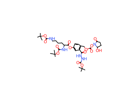 CC(C)(C)OC(=O)NCCCCC(NC(=O)OC(C)(C)C)C(=O)Oc1ccc(COC(=O)ON2C(=O)CCC2O)c(C(=O)NNC(=O)OC(C)(C)C)c1